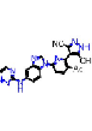 CC(=O)c1ccc(-n2cnc3cc(Nc4nccnn4)ccc32)nc1-c1c(C#N)n[nH]c1C